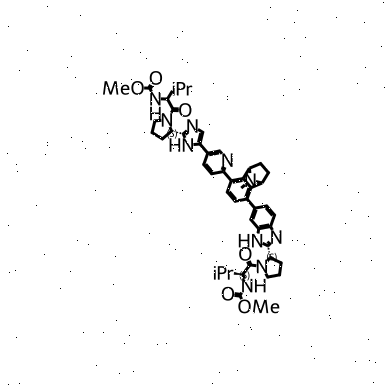 COC(=O)NC(C(=O)N1CCC[C@H]1c1ncc(-c2ccc(-c3ccc(-c4ccc5nc([C@@H]6CCCN6C(=O)[C@@H](NC(=O)OC)C(C)C)[nH]c5c4)c4c3C3CCC4N3C)nc2)[nH]1)C(C)C